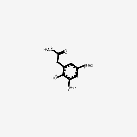 CCCCCCc1cc(CCCCCC)c(O)c(CC(=O)C(=O)O)c1